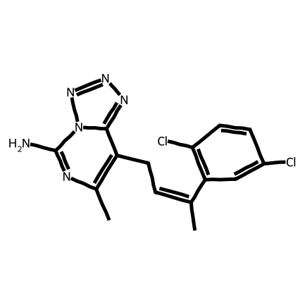 CC(=CCc1c(C)nc(N)n2nnnc12)c1cc(Cl)ccc1Cl